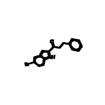 O=C(CCc1ccccc1)c1cc2cc(Br)ccc2[nH]1